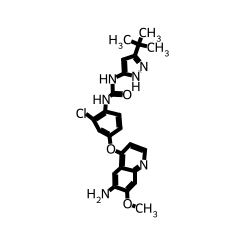 COc1cc2nccc(Oc3ccc(NC(=O)Nc4cc(C(C)(C)C)n[nH]4)c(Cl)c3)c2cc1N